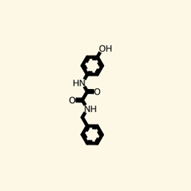 O=C(NCc1ccccc1)C(=O)Nc1ccc(O)cc1